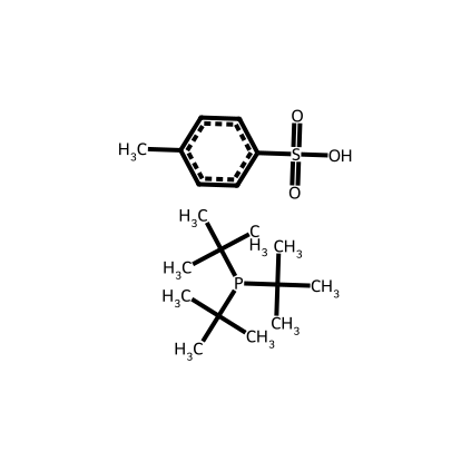 CC(C)(C)P(C(C)(C)C)C(C)(C)C.Cc1ccc(S(=O)(=O)O)cc1